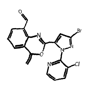 C=C1OC(c2cc(Br)nn2-c2ncccc2Cl)=Nc2c(C=O)cccc21